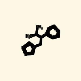 CC(C)C(Cn1cnnc1)c1ccccc1